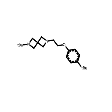 CC(C)(C)c1ccc(OCCN2CC3(C2)CN(C(C)(C)C)C3)cc1